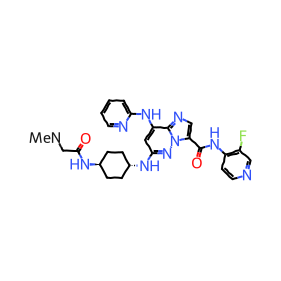 CNCC(=O)N[C@H]1CC[C@H](Nc2cc(Nc3ccccn3)c3ncc(C(=O)Nc4ccncc4F)n3n2)CC1